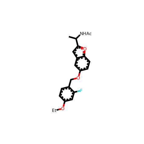 CCOc1ccc(COc2ccc3oc(C(C)NC(C)=O)cc3c2)c(F)c1